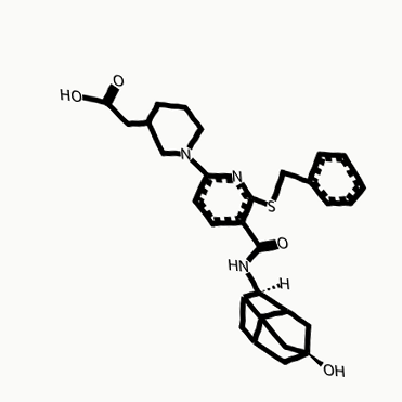 O=C(O)CC1CCCN(c2ccc(C(=O)N[C@H]3C4CC5CC3C[C@@](O)(C5)C4)c(SCc3ccccc3)n2)C1